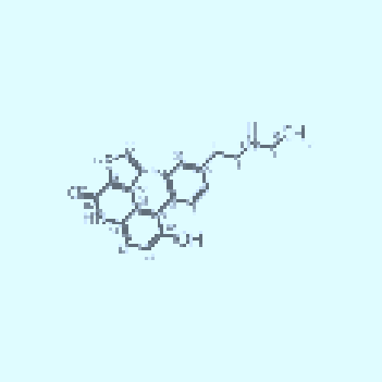 CCNCCc1ccc(-c2c(O)ccc3[nH]c(=O)c4sccc4c23)cc1